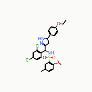 CCOc1ccc(C2CC(C(NS(=O)(=O)c3cc(C)ccc3OC)c3ccc(Cl)cc3Cl)=NN2)cc1